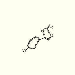 CCc1nc(-c2ccc(Cl)cc2)co1